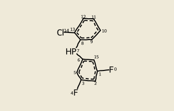 Fc1cc(F)cc(Pc2ccccc2Cl)c1